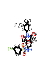 C[C@]12O[C@](C)(C[C@H]1NS(=O)(=O)c1ccc(F)cc1)[C@H]1C(=O)N(c3ccc(C#N)c(C(F)(F)F)c3)C(=O)[C@H]12